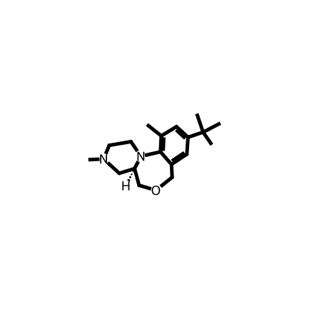 Cc1cc(C(C)(C)C)cc2c1N1CCN(C)C[C@@H]1COC2